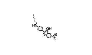 CCCCCNc1ccc(-c2nc3ccc([N+](=O)[O-])cc3n2O)cc1